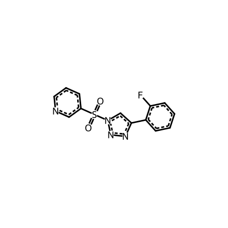 O=S(=O)(c1cccnc1)n1cc(-c2ccccc2F)nn1